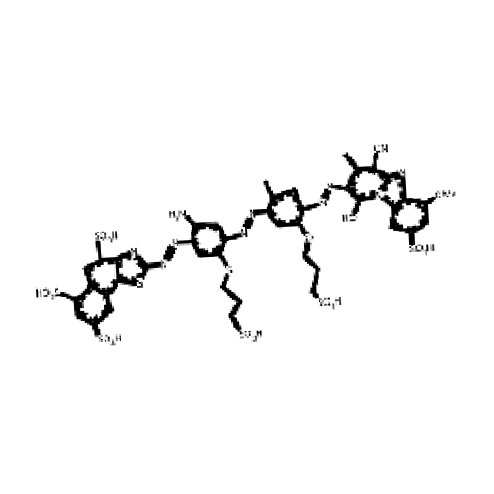 COc1cc(S(=O)(=O)O)cc2c1nc1c(C#N)c(C)c(N=Nc3cc(C)c(N=Nc4cc(N)c(N=Nc5nc6c(S(=O)(=O)O)cc7c(S(=O)(=O)O)cc(S(=O)(=O)O)cc7c6s5)cc4SCCCS(=O)(=O)O)cc3OCCCS(=O)(=O)O)c(O)n12